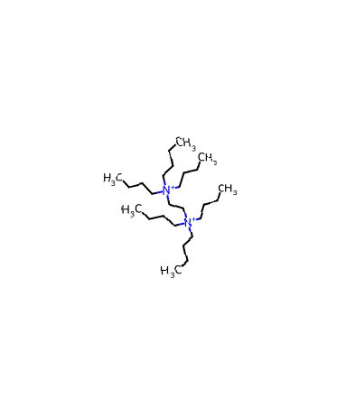 CCCC[N+](CCCC)(CCCC)CC[N+](CCCC)(CCCC)CCCC